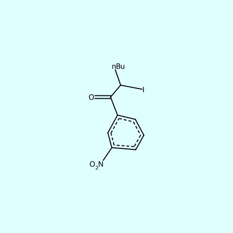 CCCCC(I)C(=O)c1cccc([N+](=O)[O-])c1